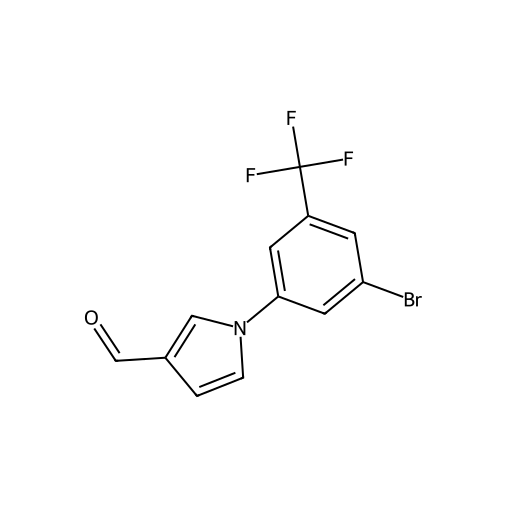 O=Cc1ccn(-c2cc(Br)cc(C(F)(F)F)c2)c1